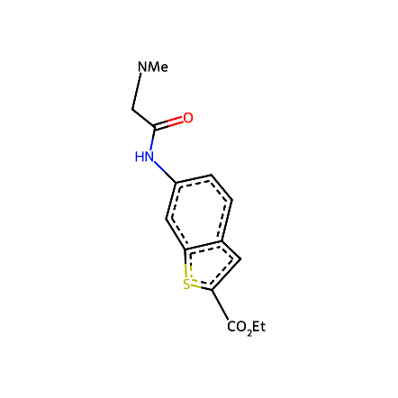 CCOC(=O)c1cc2ccc(NC(=O)CNC)cc2s1